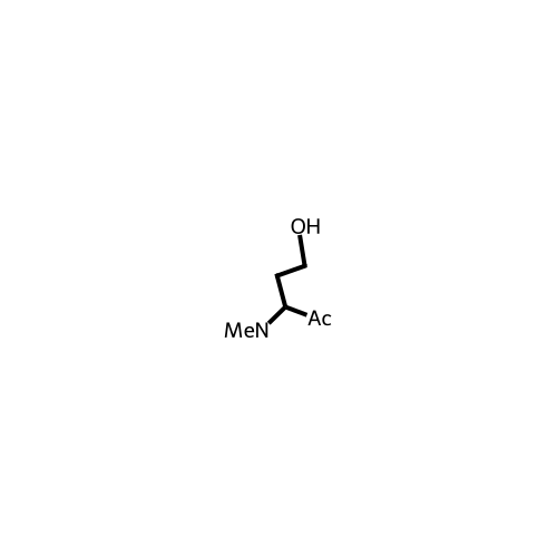 CNC(CCO)C(C)=O